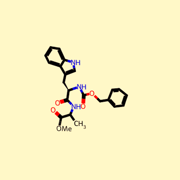 COC(=O)C(C)NC(=O)[C@@H](Cc1c[nH]c2ccccc12)NC(=O)OCc1ccccc1